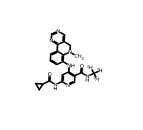 [2H]C([2H])([2H])NC(=O)c1cnc(NC(=O)C2CC2)cc1Nc1cccc2c1N(C)Cc1cncnc1-2